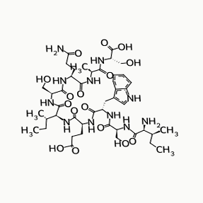 CC[C@H](C)[C@H](N)C(=O)N[C@@H](CO)C(=O)N[C@@H](Cc1c[nH]c2ccccc12)C(=O)N[C@@H](CCC(=O)O)C(=O)N[C@H](C(=O)N[C@@H](CO)C(=O)N[C@@H](CCC(N)=O)C(=O)N[C@@H](C)C(=O)N[C@@H](CO)C(=O)O)[C@@H](C)CC